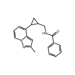 Cc1cc2c(C3CC3CNC(=O)c3ccccc3)cccn2n1